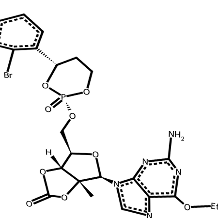 CCOc1nc(N)nc2c1ncn2[C@@H]1O[C@H](CO[P@@]2(=O)OCC[C@@H](c3ccccc3Br)O2)[C@H]2OC(=O)O[C@]21C